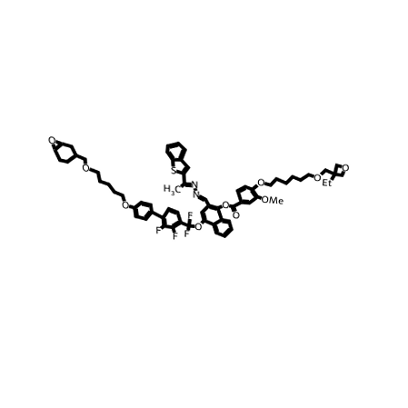 CCC1(COCCCCCCOc2ccc(C(=O)Oc3c(/C=N/N=C(\C)c4cc5ccccc5s4)cc(OC(F)(F)c4ccc(-c5ccc(OCCCCCOCC6CCC7OC7C6)cc5)c(F)c4F)c4ccccc34)cc2OC)COC1